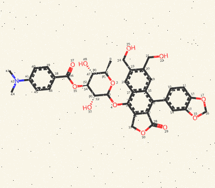 C[C@H]1OC(Oc2c3c(c(-c4ccc5c(c4)OCO5)c4cc(CO)c(CO)cc24)C(=O)OC3)[C@H](O)[C@@H](OC(=O)c2ccc(N(C)C)cc2)[C@@H]1O